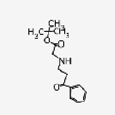 CC(C)(C)OC(=O)CNCCC(=O)c1ccccc1